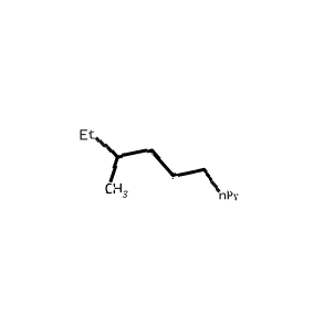 [CH2]CC(C)C[CH]CCCC